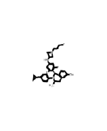 CC1Cc2cc(O)ccc2[C@H](c2c(F)cc(NC3CN(CCCF)C3)cc2F)N1c1ccc(C2CC2)cc1